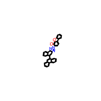 COc1c(-n2nc3cc(-c4cc5ccccc5c5ccccc45)c4ccccc4c3n2)ccc2c1oc1ccccc12